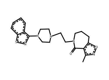 Cc1noc2c1C(=O)N(CCN1CCN(c3nsc4ccccc34)CC1)CCC2